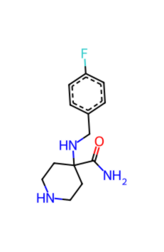 NC(=O)C1(NCc2ccc(F)cc2)CCNCC1